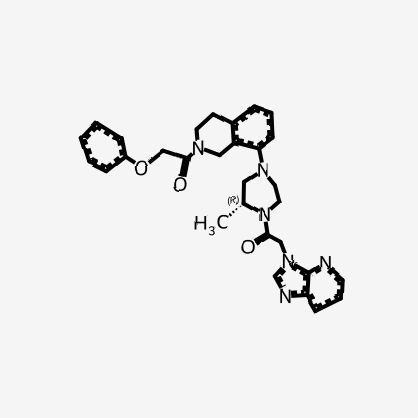 C[C@@H]1CN(c2cccc3c2CN(C(=O)COc2ccccc2)CC3)CCN1C(=O)Cn1cnc2cccnc21